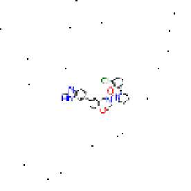 Cc1nc2ccc(-c3ccc4c(c3)CN(C(=O)N3CCCCC3c3cccc(Cl)c3)CCO4)cc2[nH]1